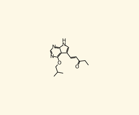 CCC(=O)C=Cc1c[nH]c2ncnc(OCC(C)C)c12